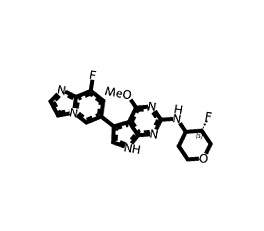 COc1nc(NC2CCOC[C@H]2F)nc2[nH]cc(-c3cc(F)c4nccn4c3)c12